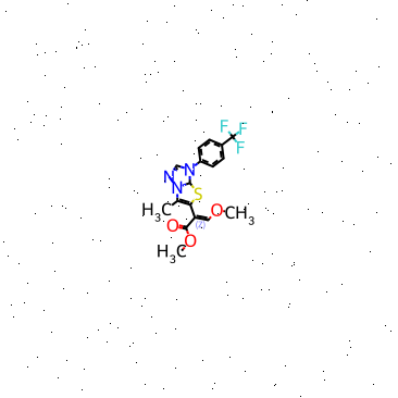 CO/C=C(/C(=O)OC)C1=C(C)N2N=CN(c3ccc(C(F)(F)F)cc3)C2S1